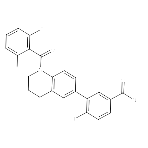 NC(=O)c1ccc(Cl)c(-c2ccc3c(c2)CCCN3C(=O)c2c(F)cccc2Cl)c1